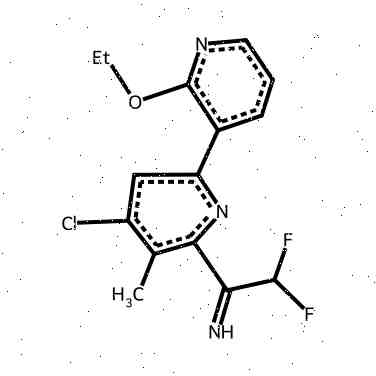 CCOc1ncccc1-c1cc(Cl)c(C)c(C(=N)C(F)F)n1